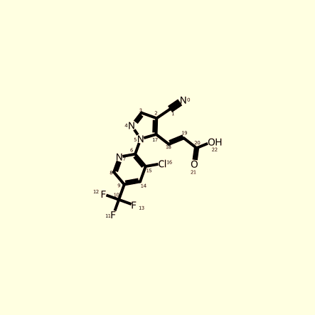 N#Cc1cnn(-c2ncc(C(F)(F)F)cc2Cl)c1C=CC(=O)O